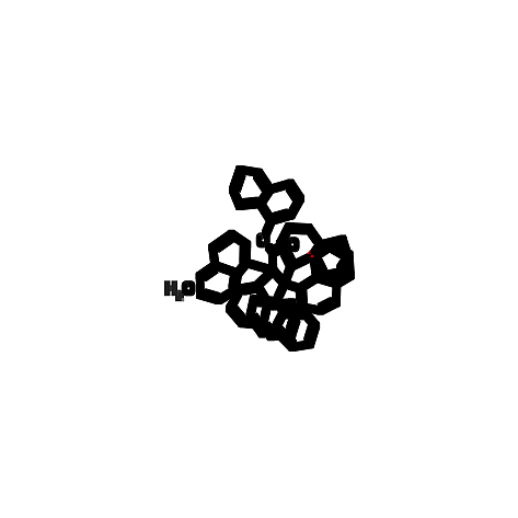 O.O=C(Oc1cccc2ccccc12)C(c1cccc2ccccc12)(c1cccc2ccccc12)C(c1cccc2ccccc12)(c1cccc2ccccc12)c1cccc2ccccc12